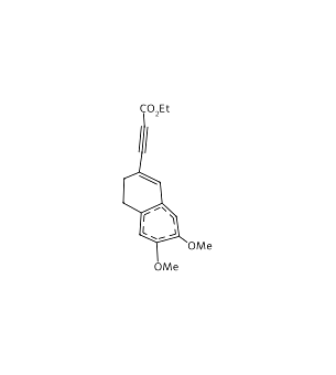 CCOC(=O)C#CC1=Cc2cc(OC)c(OC)cc2CC1